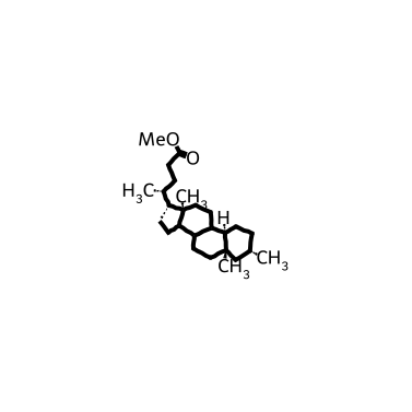 COC(=O)CC[C@@H](C)[C@H]1CCC2C3CC[C@@]4(C)C[C@@H](C)CC[C@@H]4C3CC[C@@]21C